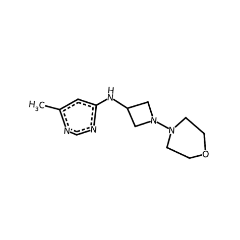 Cc1cc(NC2CN(N3CCOCC3)C2)ncn1